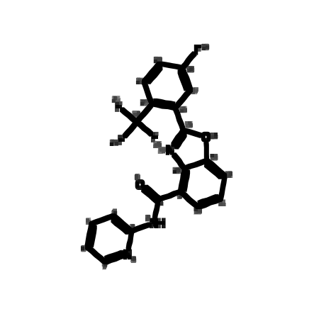 O=C(Nc1ccccn1)c1cccc2oc(-c3cc(F)ccc3C(F)(F)F)nc12